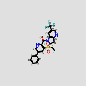 CCS(=O)(=O)c1cc(-c2ccccc2)cnc1C(=O)N1CCc2ncc(C(F)(F)F)cc21